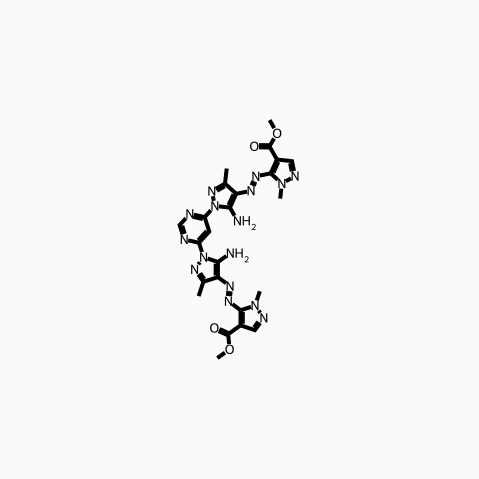 COC(=O)c1cnn(C)c1/N=N/c1c(C)nn(-c2cc(-n3nc(C)c(/N=N/c4c(C(=O)OC)cnn4C)c3N)ncn2)c1N